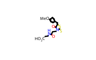 COc1ccc(/C=C2/SC(=S)N(CCC(=O)NCCC(=O)O)C2=O)cc1